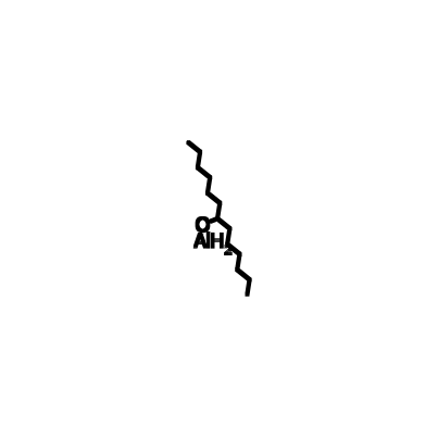 CCCCCCC(CCCCCC)[O][AlH2]